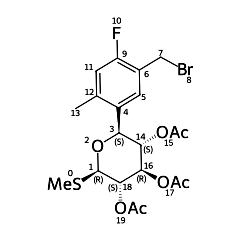 CS[C@H]1O[C@@H](c2cc(CBr)c(F)cc2C)[C@H](OC(C)=O)[C@@H](OC(C)=O)[C@@H]1OC(C)=O